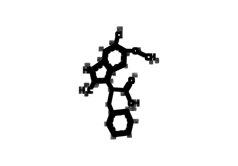 COc1cc2c(C(Cc3ccccc3)C(=O)O)c(C)[nH]c2cc1Cl